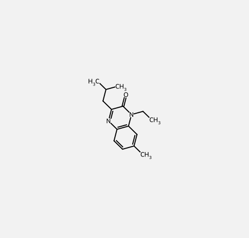 CCn1c(=O)c(CC(C)C)nc2ccc(C)cc21